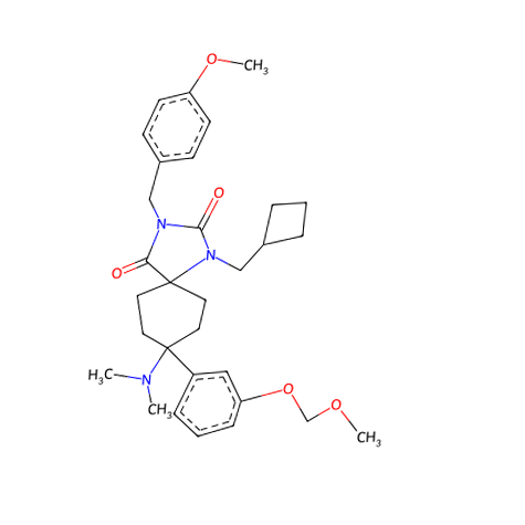 COCOc1cccc(C2(N(C)C)CCC3(CC2)C(=O)N(Cc2ccc(OC)cc2)C(=O)N3CC2CCC2)c1